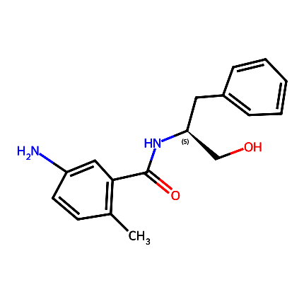 Cc1ccc(N)cc1C(=O)N[C@H](CO)Cc1ccccc1